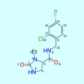 CCN1C(=O)NCC1C(=O)NCc1ccc(F)cc1Cl